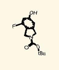 CC(C)(C)OC(=O)N1Cc2cc(O)cc(F)c2C1